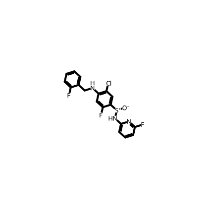 [O-][S+](Nc1cccc(F)n1)c1cc(Cl)c(NCc2ccccc2F)cc1F